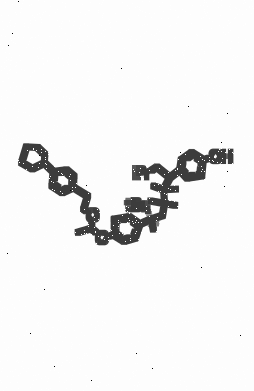 CC(C)CC(c1ccc(O)cc1)C(C)(C)C(C)(C)C[C@@](C)(c1ccc(OC(C)OCCc2ccc(C3CCCCC3)cc2)cc1)C(C)(C)C